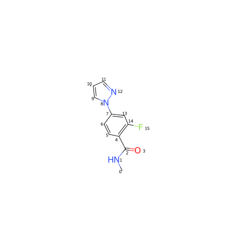 CNC(=O)c1ccc(-n2c[c]cn2)cc1F